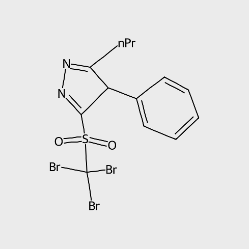 CCCC1=NN=C(S(=O)(=O)C(Br)(Br)Br)C1c1ccccc1